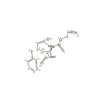 C=CCOC(=O)N[C@H]1NC(=O)[C@@H]1[C@@H](C=C=O)Sc1ccccc1